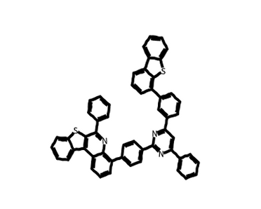 c1ccc(-c2cc(-c3cccc(-c4cccc5c4sc4ccccc45)c3)nc(-c3ccc(-c4cccc5c4nc(-c4ccccc4)c4sc6ccccc6c45)cc3)n2)cc1